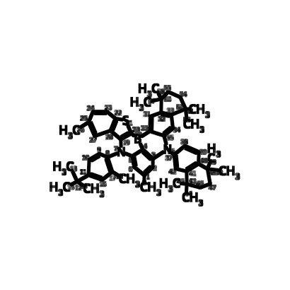 Cc1cc2c3c(c1)N(c1ccc(C(C)(C)C)cc1C)c1c(sc4ccc(C)cc14)B3c1cc3c(cc1N2c1ccc2c(c1)C(C)(C)CCC2(C)C)C(C)(C)CCC3(C)C